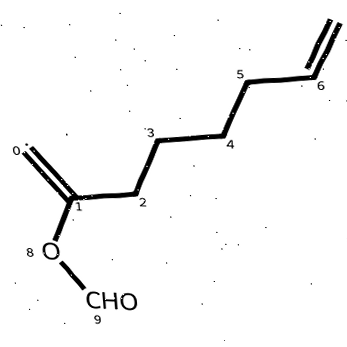 [CH]=C(CCCCC=C)OC=O